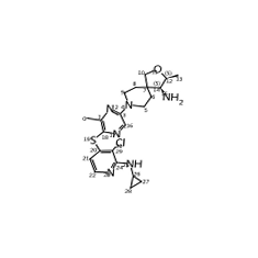 Cc1nc(N2CCC3(CC2)CO[C@@H](C)[C@H]3N)[c]nc1Sc1ccnc(NC2CC2)c1Cl